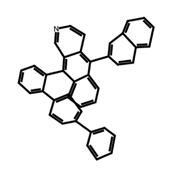 c1ccc(-c2ccc(-c3ccccc3-c3c4ccccc4c(-c4ccc5ccccc5c4)c4ccncc34)cc2)cc1